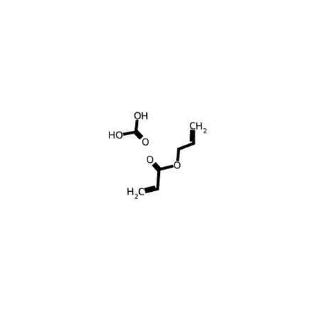 C=CCOC(=O)C=C.O=C(O)O